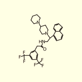 O=C(Cc1cc(C(F)(F)F)cc(C(F)(F)F)c1)NCC(c1cccc2ccccc12)N1CCC(N2CCCCC2)CC1